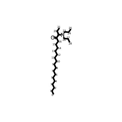 CCCCCCCCCCCCCCCCCC(=O)C(CC)N(CCC)CCC